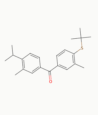 Cc1cc(C(=O)c2ccc(C(C)C)c(C)c2)ccc1SC(C)(C)C